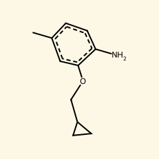 Cc1ccc(N)c(OCC2CC2)c1